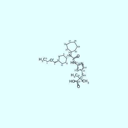 CCOC[C@H]1CC[C@H](N(C(=O)Nc2ncc(SC(C)(C)C(=O)O)s2)C2CCCCCC2)CC1